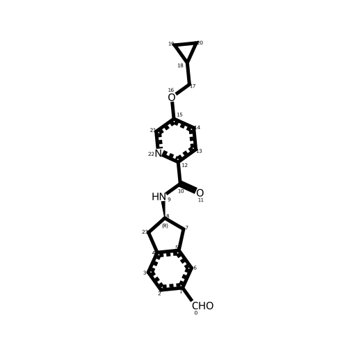 O=Cc1ccc2c(c1)C[C@H](NC(=O)c1ccc(OCC3CC3)cn1)C2